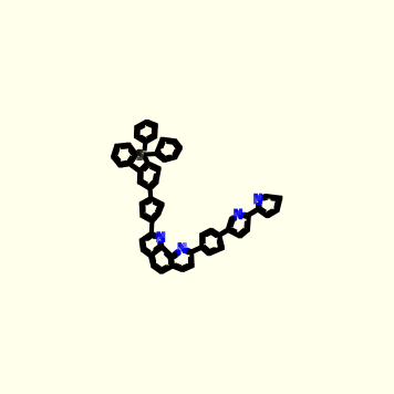 c1ccc([Si]2(c3ccccc3)c3ccccc3-c3cc(-c4ccc(-c5ccc6ccc7ccc(-c8ccc(-c9ccc(-c%10ccccn%10)nc9)cc8)nc7c6n5)cc4)ccc32)cc1